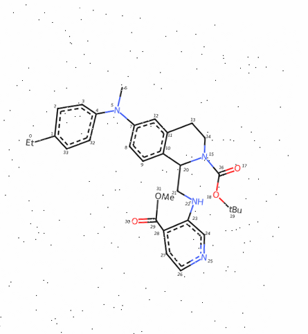 CCc1ccc(N(C)c2ccc3c(c2)CCN(C(=O)OC(C)(C)C)C3CNc2cnccc2C(=O)OC)cc1